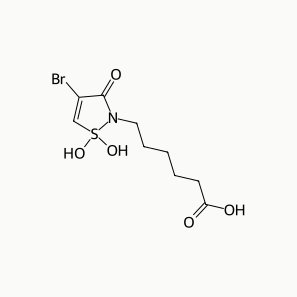 O=C(O)CCCCCN1C(=O)C(Br)=CS1(O)O